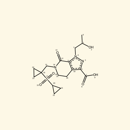 CC(O)Cn1nc(C(=O)O)c2c1C(=O)N(CC1(S(=O)(=O)C3CC3)CC1)CC2